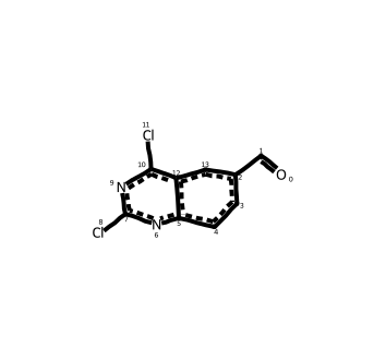 O=[C]c1ccc2nc(Cl)nc(Cl)c2c1